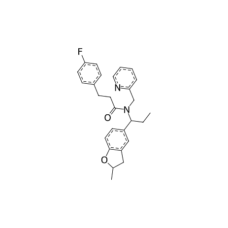 CCC(c1ccc2c(c1)CC(C)O2)N(Cc1ccccn1)C(=O)CCc1ccc(F)cc1